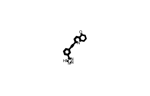 O=C1CCCc2nc(C#Cc3cccc(-c4nnn[nH]4)c3)ccc21